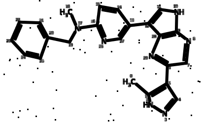 Cc1[nH]ncc1-c1cnc2[nH]cc(-c3ccc(N(C)Cc4ccccc4)nc3)c2n1